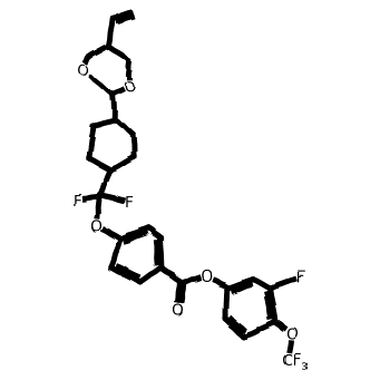 C=CC1COC(C2CCC(C(F)(F)Oc3ccc(C(=O)Oc4ccc(OC(F)(F)F)c(F)c4)cc3)CC2)OC1